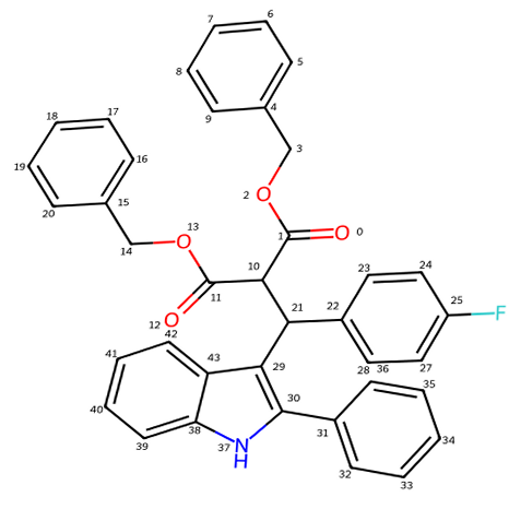 O=C(OCc1ccccc1)C(C(=O)OCc1ccccc1)C(c1ccc(F)cc1)c1c(-c2ccccc2)[nH]c2ccccc12